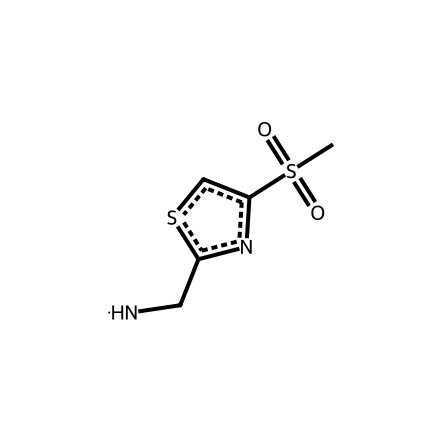 CS(=O)(=O)c1csc(C[NH])n1